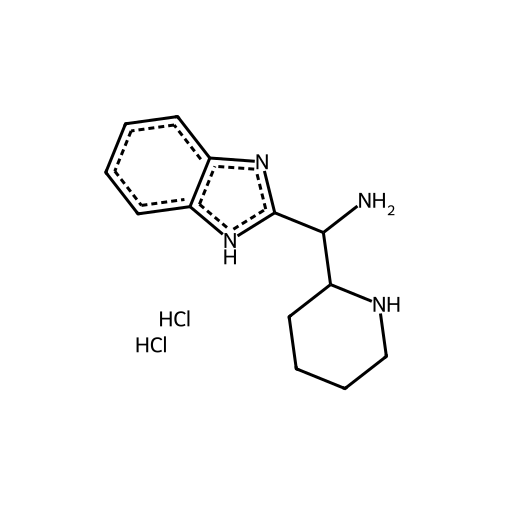 Cl.Cl.NC(c1nc2ccccc2[nH]1)C1CCCCN1